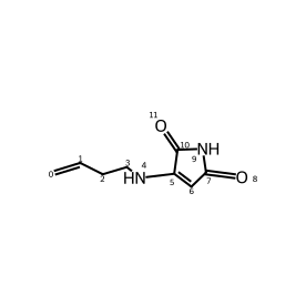 C=CCCNC1=CC(=O)NC1=O